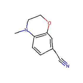 CN1CCOc2cc(C#N)ccc21